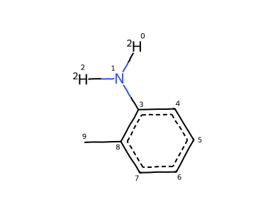 [2H]N([2H])c1ccccc1C